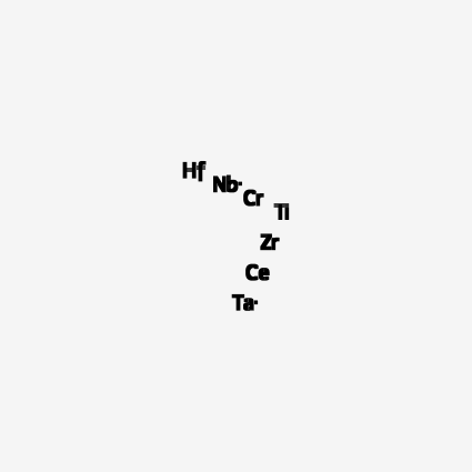 [Ce].[Cr].[Hf].[Nb].[Ta].[Ti].[Zr]